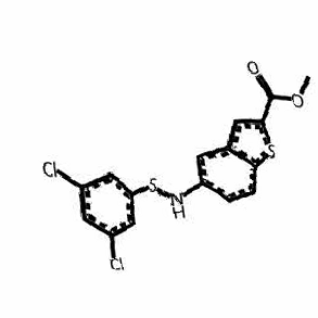 COC(=O)c1cc2cc(NSc3cc(Cl)cc(Cl)c3)ccc2s1